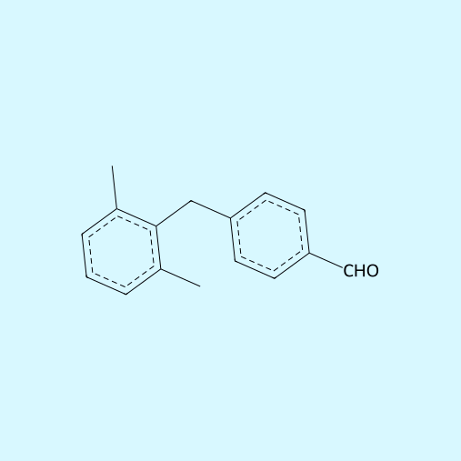 Cc1cccc(C)c1Cc1ccc(C=O)cc1